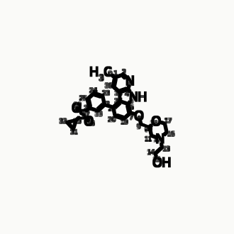 Cc1cnc2[nH]c3c(OC[C@@H]4CN(CCO)CCO4)ccc(-c4cccc(S(=O)(=O)C5CC5)c4)c3c2c1